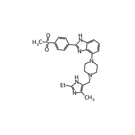 CCc1nc(C)c(CN2CCN(c3cccc4[nH]c(-c5ccc(S(C)(=O)=O)cc5)nc34)CC2)[nH]1